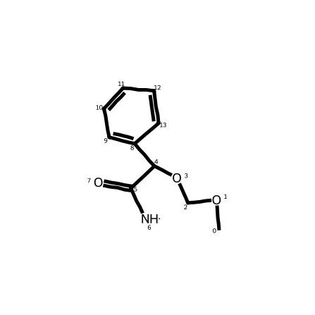 COCOC(C([NH])=O)c1ccccc1